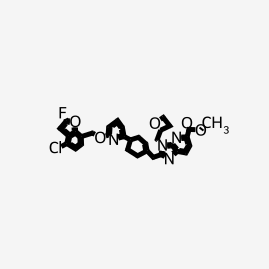 COC(=O)c1ccc2nc(CC3=CCC(c4cccc(OCc5ccc(Cl)c6cc(F)oc56)n4)CC3)n(CC3CCO3)c2n1